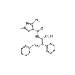 Cn1cc(C(=O)NC(C(=O)O)C(/C=C/c2ccccc2)c2ccccc2)c(C(F)(F)F)n1